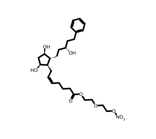 O=C(CCC/C=C\C[C@@H]1[C@@H](CC[C@@H](O)CCc2ccccc2)[C@H](O)C[C@@H]1O)OCCOCCO[N+](=O)[O-]